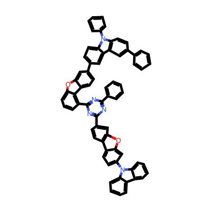 c1ccc(-c2ccc3c(c2)c2cc(-c4ccc5c(c4)oc4cccc(-c6nc(-c7ccccc7)nc(-c7ccc8c(c7)oc7cc(-n9c%10ccccc%10c%10ccccc%109)ccc78)n6)c45)ccc2n3-c2ccccc2)cc1